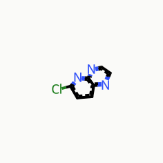 Clc1ccc2nccnc2n1